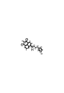 CN1C(=O)c2cccc3c(NCCCn4cc[n+](C)c4)ccc(c23)C1=O